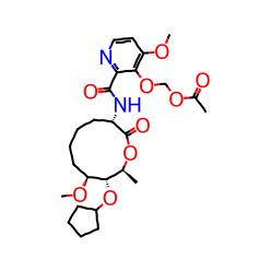 COc1ccnc(C(=O)N[C@H]2CCCC[C@H](OC)[C@@H](OC3CCCC3)[C@H](C)OC2=O)c1OCOC(C)=O